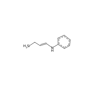 [SiH3]CC=CNc1ccccc1